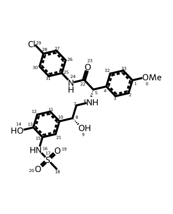 COc1ccc([C@H](NC[C@H](O)c2ccc(O)c(NS(C)(=O)=O)c2)C(=O)Nc2ccc(Cl)cc2)cc1